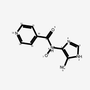 N#Cc1[nH]cnc1[NH+]([O-])C(=O)c1ccncc1